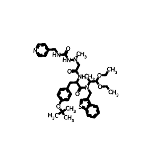 CCOC(OCC)C(C)N(Cc1csc2ccccc12)C(=O)C(Cc1ccc(OC(C)(C)C)cc1)NC(=O)CN(C)NC(=O)NCc1ccncc1